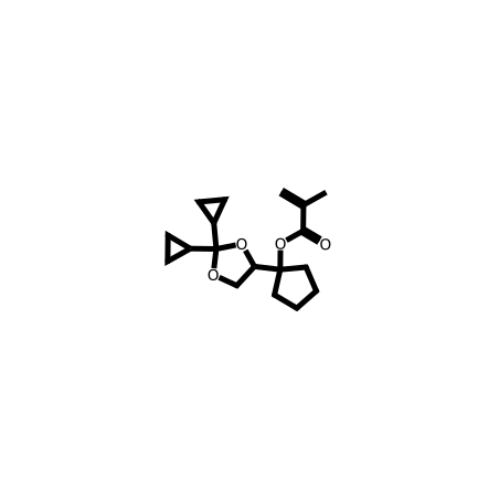 C=C(C)C(=O)OC1(C2COC(C3CC3)(C3CC3)O2)CCCC1